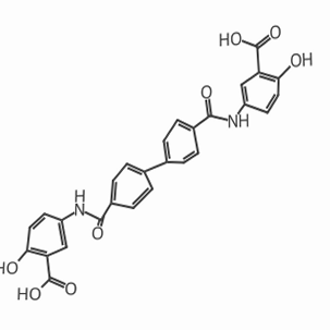 O=C(Nc1ccc(O)c(C(=O)O)c1)c1ccc(-c2ccc(C(=O)Nc3ccc(O)c(C(=O)O)c3)cc2)cc1